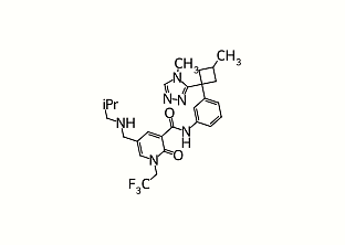 CC(C)CNCc1cc(C(=O)Nc2cccc(C3(c4nncn4C)CC(C)C3)c2)c(=O)n(CC(F)(F)F)c1